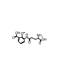 COc1c(NC(=O)CCC(N)C(=O)O)cccc1C(=O)O